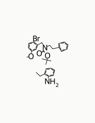 CCc1ccccc1N.COc1ccc(Br)c(CN(CCc2ccccc2)C(=O)OC(C)(C)C)c1